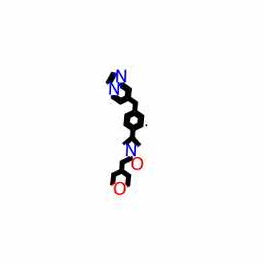 O=C(CC1CCOCC1)N1CC(c2[c]cc(Cc3ccn4ccnc4c3)cc2)C1